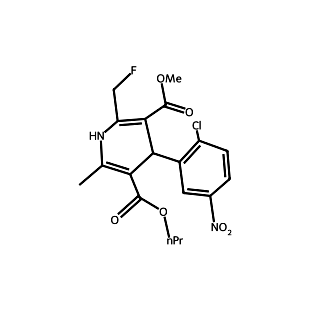 CCCOC(=O)C1=C(C)NC(CF)=C(C(=O)OC)C1c1cc([N+](=O)[O-])ccc1Cl